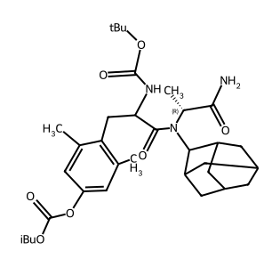 Cc1cc(OC(=O)OCC(C)C)cc(C)c1CC(NC(=O)OC(C)(C)C)C(=O)N(C1C2CC3CC(C2)CC1C3)[C@H](C)C(N)=O